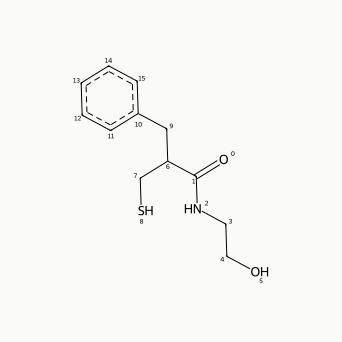 O=C(NCCO)C(CS)Cc1ccccc1